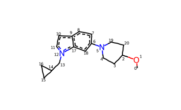 COC1CCN(c2ccc3ccn(CC4CC4)c3c2)CC1